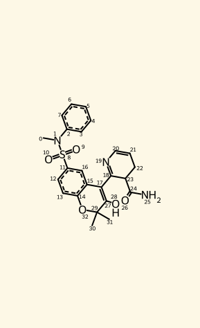 CN(c1ccccc1)S(=O)(=O)c1ccc2c(c1)C(C1=NC=CCC1C(N)=O)=C(O)C(C)(C)O2